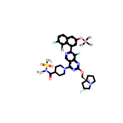 CCc1c(F)ccc2cc(O[Si](C(C)C)(C(C)C)C(C)C)cc(-c3ncc4c(N5CCC(C(=O)N(C)S(C)(=O)=O)CC5)nc(OC[C@@]56CCCN5C[C@H](F)C6)nc4c3F)c12